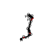 O=C(/C=C/c1cccnc1)NCCCCC1CCN(C(=O)c2ccc(N3CCN(C(=O)COCCOCCOCCOCCNc4cccc5c4CN(C4CCC(=O)NC4=O)C5=O)CC3)nc2)CC1